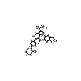 C[C@@H]1Cc2cc(-n3nc(C(N)=O)c4c3C(=O)N(c3ccc(N5CCCCC5=O)cc3)CC4)ccc2O1